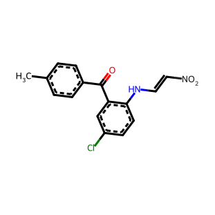 Cc1ccc(C(=O)c2cc(Cl)ccc2NC=C[N+](=O)[O-])cc1